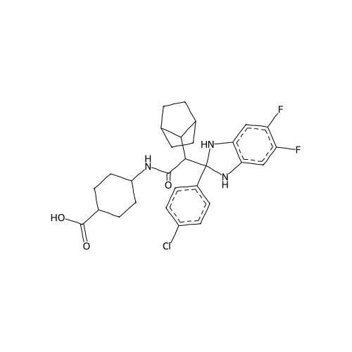 O=C(O)C1CCC(NC(=O)C(C2C3CCC2CC3)C2(c3ccc(Cl)cc3)Nc3cc(F)c(F)cc3N2)CC1